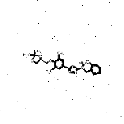 CCCCN(Cc1ccccc1Cl)c1nnc(-c2cc(C)c(OC[C@H]3COC(C)(C)O3)c(C)c2)s1